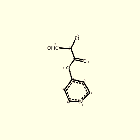 CCC(C=O)C(=O)Oc1ccncc1